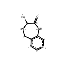 CC[C@H](C)[C@@H]1NCc2ncncc2NC1=O